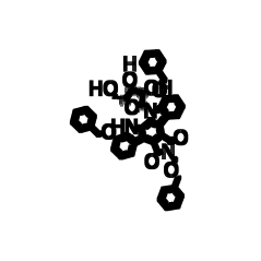 O=C1c2c(c3c4cccc(OCc5ccccc5)c4n([C@@H]4O[C@H](CO)[C@@H](O)[C@H]4O)c3c3[nH]c4c(OCc5ccccc5)cccc4c23)C(=O)N1COCc1ccccc1